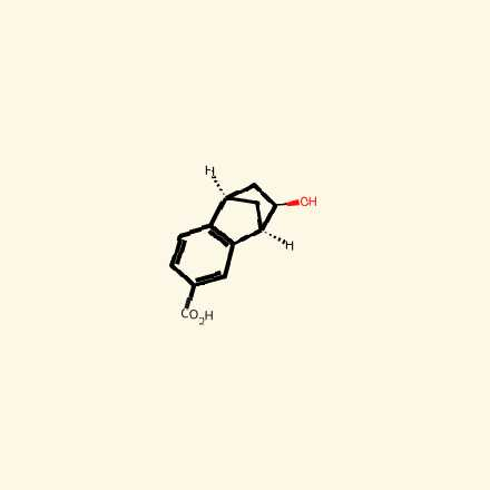 O=C(O)c1ccc2c(c1)[C@H]1C[C@@H]2C[C@H]1O